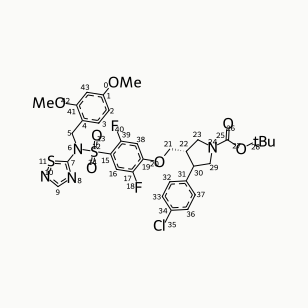 COc1ccc(CN(c2ncns2)S(=O)(=O)c2cc(F)c(OC[C@@H]3CN(C(=O)OC(C)(C)C)CC3c3ccc(Cl)cc3)cc2F)c(OC)c1